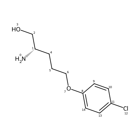 N[C@H](CO)CCCOc1ccc(Cl)cc1